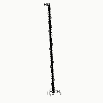 C=C(C)C(=O)OCCOCCOCCOCCOCCOCCOCCOCCOCCOCCOCCOCCOCCOCCOCCOCCOCCOCCOCCO